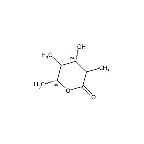 CC1C(=O)O[C@H](C)C(C)[C@@H]1O